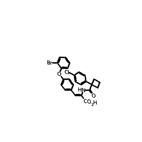 O=C(O)/C(=C/c1ccc(Oc2ccccc2Br)cc1)NC(=O)C1(c2ccc(Cl)cc2)CCC1